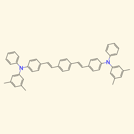 Cc1cc(C)cc(N(c2ccccc2)c2ccc(C=Cc3ccc(C=Cc4ccc(N(c5ccccc5)c5cc(C)cc(C)c5)cc4)cc3)cc2)c1